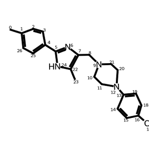 Cc1ccc(-c2nc(CN3CCN(c4ccc(Cl)cc4)CC3)c(C)[nH]2)cc1